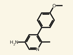 COc1ccc(-c2cc(N)cnc2C)cc1